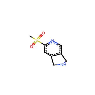 CS(=O)(=O)c1cc2c(cn1)CNC2